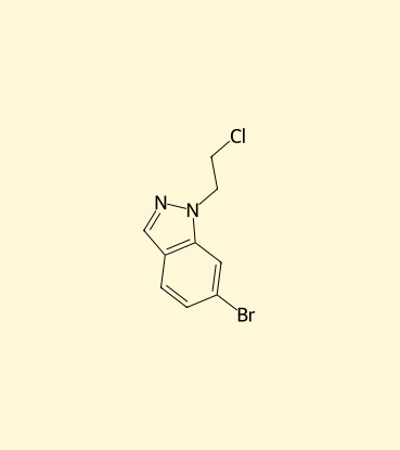 ClCCn1ncc2ccc(Br)cc21